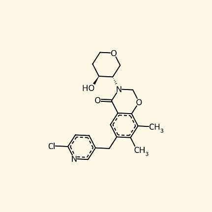 Cc1c(Cc2ccc(Cl)nc2)cc2c(c1C)OCN([C@H]1COCC[C@@H]1O)C2=O